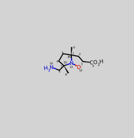 C[C@]1(CCC(=O)O)CC[C@@](C)(CN)N1[O]